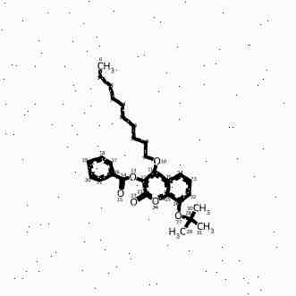 CCCCCCCCCCOc1c(OC(=O)c2ccccc2)c(=O)oc2c(OC(C)(C)C)cccc12